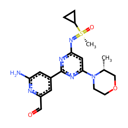 C[C@@H]1COCCN1c1cc(N=[S@](C)(=O)C2CC2)nc(-c2cc(N)nc(C=O)c2)n1